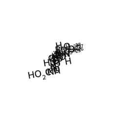 O=C(O)NC1CN(C(=O)NS(=O)(=O)N2CCN(NC(=O)c3[nH]cc(OCc4ccccc4)c(=O)c3Br)C2=O)C1=O